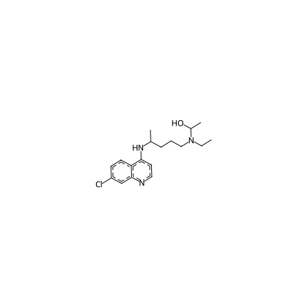 CCN(CCCC(C)Nc1ccnc2cc(Cl)ccc12)C(C)O